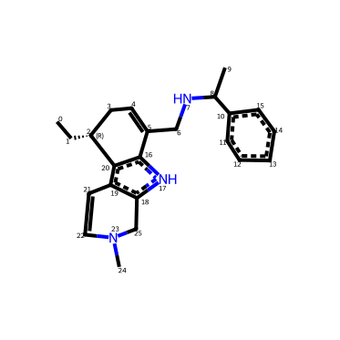 CC[C@@H]1CC=C(CNC(C)c2ccccc2)c2[nH]c3c(c21)C=CN(C)C3